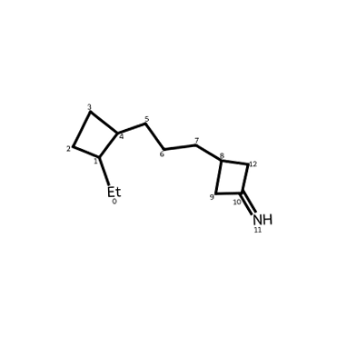 CCC1CCC1CCCC1CC(=N)C1